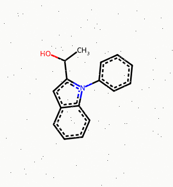 CC(O)c1cc2ccccc2n1-c1ccccc1